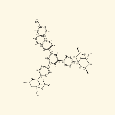 C[C@@H]1C[C@@H]2C[C@H](C)CC(c3ccc(-c4nc(-c5ccc(C67C[C@H](C)C[C@H](C[C@H](C)C6)C7)cc5)nc(-c5ccc6c(ccc7cc(C#N)ccc76)c5)n4)cc3)(C1)C2